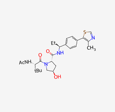 CC[C@H](NC(=O)[C@@H]1C[C@@H](O)CN1C(=O)[C@@H](NC(C)=O)C(C)(C)C)c1ccc(-c2scnc2C)cc1